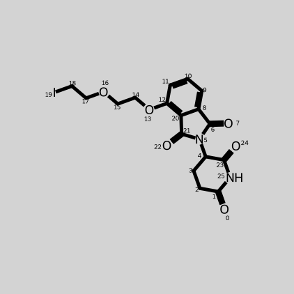 O=C1CCC(N2C(=O)c3cccc(OCCOCCI)c3C2=O)C(=O)N1